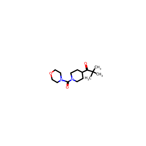 CC(C)(C)C(=O)C1CCN(C(=O)N2CCOCC2)CC1